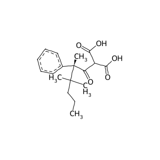 CCCC(C)(C)[C@@](C)(C(=O)C(C(=O)O)C(=O)O)c1ccccc1